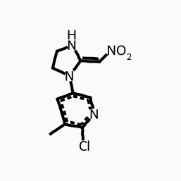 Cc1cc(N2CCNC2=C[N+](=O)[O-])cnc1Cl